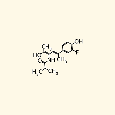 C/C(O)=C(\C=C(/C)c1ccc(O)c(F)c1)NC(=O)C(C)C